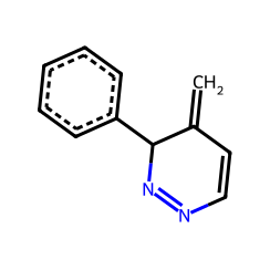 C=C1C=CN=NC1c1ccccc1